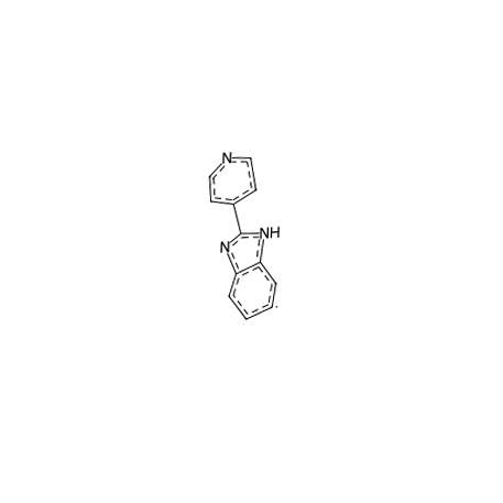 [c]1ccc2nc(-c3ccncc3)[nH]c2c1